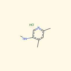 CNc1cnc(C)cc1C.Cl